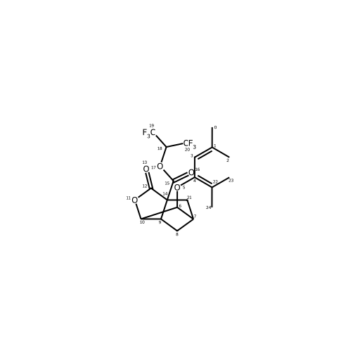 CC(C)=CC(OC1C2CC3C1OC(=O)C3(C(=O)OC(C(F)(F)F)C(F)(F)F)C2)=C(C)C